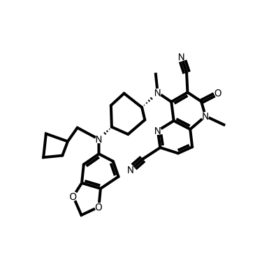 Cn1c(=O)c(C#N)c(N(C)[C@H]2CC[C@@H](N(CC3CCC3)c3ccc4c(c3)OCO4)CC2)c2nc(C#N)ccc21